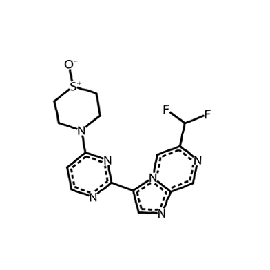 [O-][S+]1CCN(c2ccnc(-c3cnc4cnc(C(F)F)cn34)n2)CC1